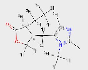 [2H]c1nc(C)n(C([2H])([2H])[2H])c1C([2H])([2H])[C@H]1C([2H])([2H])OC(=O)[C@@]1([2H])C([2H])([2H])C([2H])([2H])[2H]